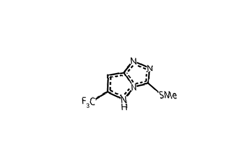 CSc1nnc2cc(C(F)(F)F)[nH]n12